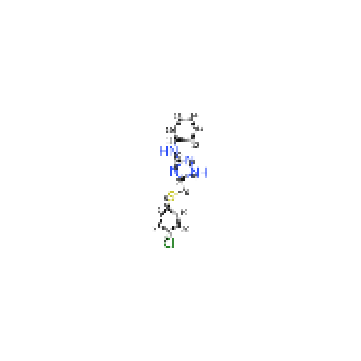 Clc1ccc(SCc2nc(Nc3ccccc3)n[nH]2)cc1